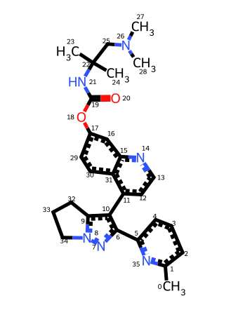 Cc1cccc(-c2nn3c(c2-c2ccnc4cc(OC(=O)NC(C)(C)CN(C)C)ccc24)CCC3)n1